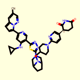 N#Cc1cnn2c(-c3cc(NC4CC4)c(-c4nnc(N5CC6CCC(C5)N6CC5CCN(c6ccc([C@@H]7CCC(=O)NC7=O)cn6)CC5)s4)cn3)ccc2c1